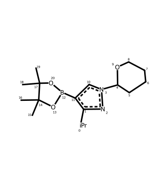 CC(C)c1nn(C2CCCCO2)cc1B1OC(C)(C)C(C)(C)O1